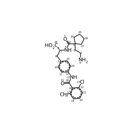 NCCC1(C(=O)N[C@@H](Cc2ccc(NC(=O)c3c(Cl)cccc3Cl)cc2)C(=O)O)CCCC1